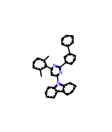 Cc1cccc(C)c1-c1cc(-n2c3ccccc3c3ccccc32)nc(-c2cccc(-c3ccccc3)c2)n1